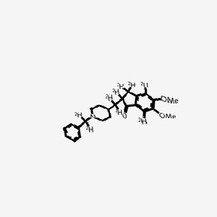 [2H]c1c(OC)c(OC)c([2H])c2c1C(=O)C([2H])(C([2H])([2H])C1CCN(C([2H])([2H])c3ccccc3)CC1)C2([2H])[2H]